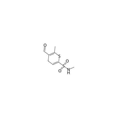 CNS(=O)(=O)C1=CCC(C=O)=C(C)S1